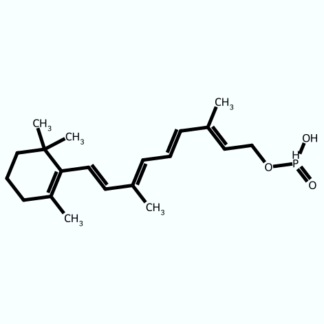 CC(C=CC1=C(C)CCCC1(C)C)=CC=CC(C)=CCO[PH](=O)O